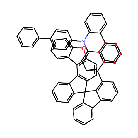 c1ccc(-c2ccc(N(c3ccccc3-c3ccccc3)c3ccc(-c4cccc5c4C4(c6ccccc6-5)c5ccccc5-c5c4ccc4oc6ccccc6c54)c4ccccc34)cc2)cc1